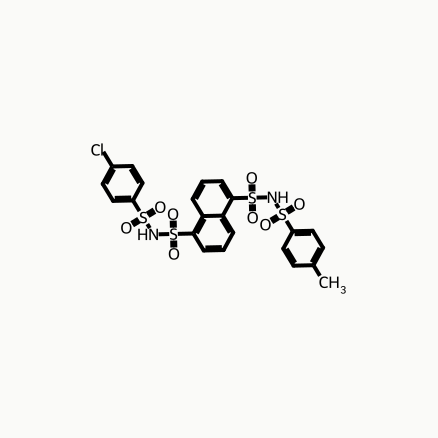 Cc1ccc(S(=O)(=O)NS(=O)(=O)c2cccc3c(S(=O)(=O)NS(=O)(=O)c4ccc(Cl)cc4)cccc23)cc1